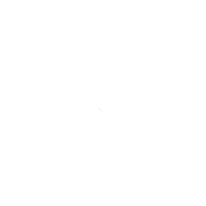 Cc1cc(C(=O)O)c(C)n1-c1ccc(Cl)cc1Cl